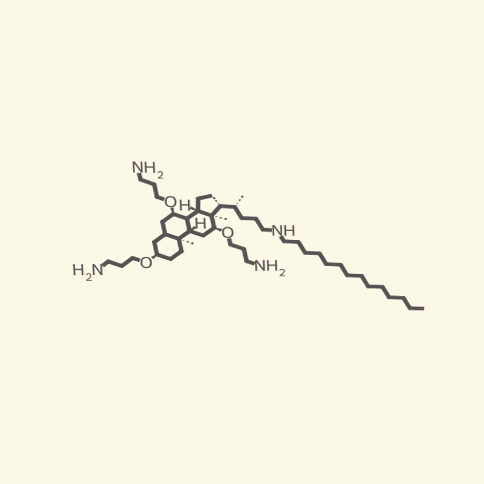 CCCCCCCCCCCCCCNCCC[C@@H](C)[C@H]1CC[C@H]2C3[C@H](OCCCN)CC4C[C@H](OCCCN)CC[C@]4(C)[C@H]3C[C@H](OCCCN)[C@]12C